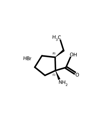 Br.CC[C@@H]1CCC[C@@]1(N)C(=O)O